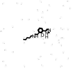 CCCCCNCCc1cccc(-c2cnc[nH]2)c1OC